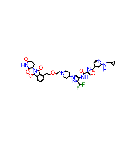 O=C1CCC(N2C(=O)c3cccc(CCOCCN4CCC(n5cc(NC(=O)c6coc(-c7ccnc(NCC8CC8)c7)n6)c(C(F)F)n5)CC4)c3C2=O)C(=O)N1